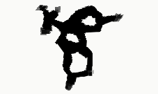 N#CC(F)(F)c1cc2c(c3cc(Br)ccc13)=C[N]C(=O)C=2